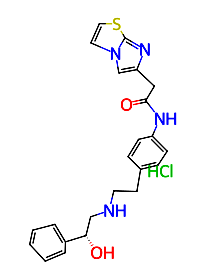 Cl.O=C(Cc1cn2ccsc2n1)Nc1ccc(CCNC[C@H](O)c2ccccc2)cc1